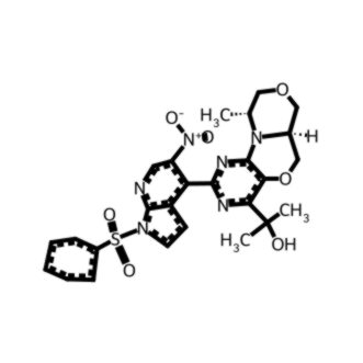 C[C@@H]1COC[C@H]2COc3c(nc(-c4c([N+](=O)[O-])cnc5c4ccn5S(=O)(=O)c4ccccc4)nc3C(C)(C)O)N21